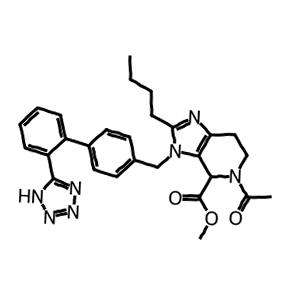 CCCCc1nc2c(n1Cc1ccc(-c3ccccc3-c3nnn[nH]3)cc1)C(C(=O)OC)N(C(C)=O)CC2